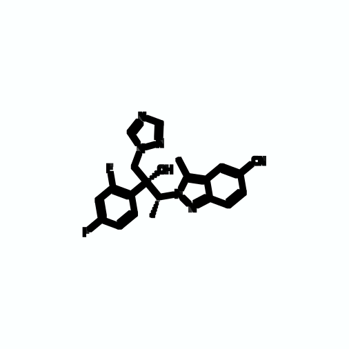 Cc1c2cc(C#N)ccc2nn1[C@H](C)[C@](O)(Cn1cncn1)c1ccc(F)cc1F